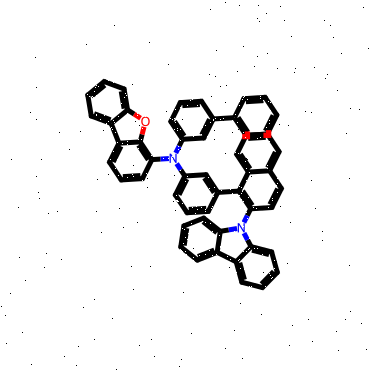 c1ccc(-c2cccc(N(c3cccc(-c4c(-n5c6ccccc6c6ccccc65)ccc5ccccc45)c3)c3cccc4c3oc3ccccc34)c2)cc1